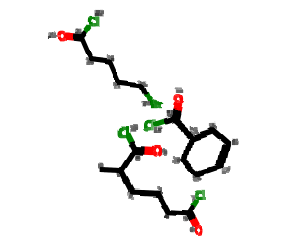 CC(CCCC(=O)Cl)C(=O)Cl.O=C(Cl)C1CC=CCC1.O=C(Cl)CCCCBr